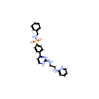 O=S(=O)(NCc1ccccc1)c1ccc(-c2ccnc(NCCNc3ccccn3)n2)cc1